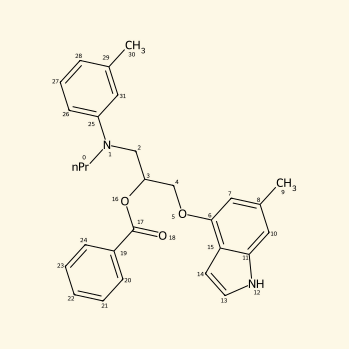 CCCN(CC(COc1cc(C)cc2[nH]ccc12)OC(=O)c1ccccc1)c1cccc(C)c1